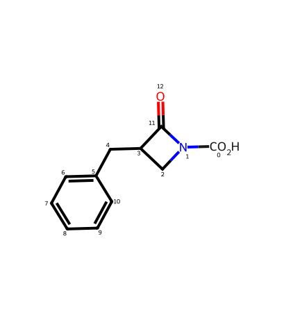 O=C(O)N1CC(Cc2ccccc2)C1=O